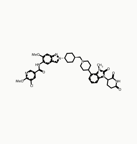 COc1cc2nn([C@H]3CC[C@H](CN4CCC(c5cccc6c5n(C)c(=O)n6C5CCC(=O)NC5=O)CC4)CC3)cc2cc1NC(=O)c1cnc(OC)c(Cl)c1